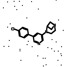 Clc1ccc(-c2cncc(N3CCN4CC3C4)c2)cc1